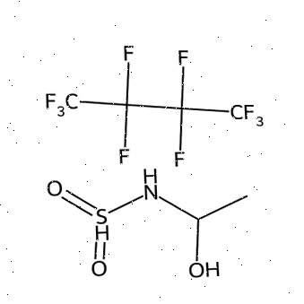 CC(O)N[SH](=O)=O.FC(F)(F)C(F)(F)C(F)(F)C(F)(F)F